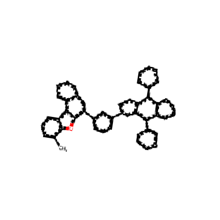 Cc1cccc2c1oc1c(-c3cccc(-c4ccc5c(-c6ccccc6)c6ccccc6c(-c6ccccc6)c5c4)c3)cc3ccccc3c12